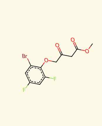 COC(=O)CC(=O)COc1c(F)cc(F)cc1Br